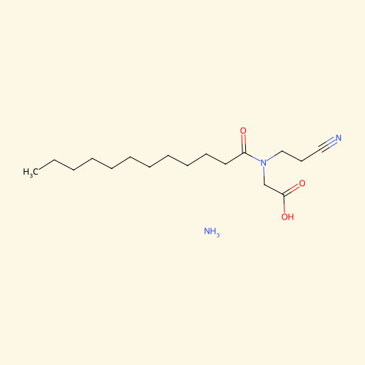 CCCCCCCCCCCC(=O)N(CCC#N)CC(=O)O.N